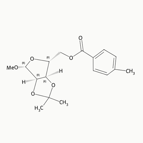 CO[C@@H]1O[C@H](COC(=O)c2ccc(C)cc2)[C@H]2OC(C)(C)O[C@@H]12